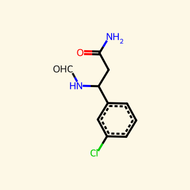 NC(=O)CC(NC=O)c1cccc(Cl)c1